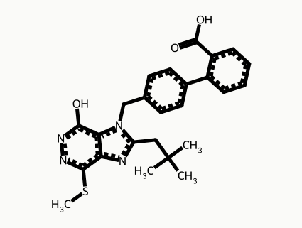 CSc1nnc(O)c2c1nc(CC(C)(C)C)n2Cc1ccc(-c2ccccc2C(=O)O)cc1